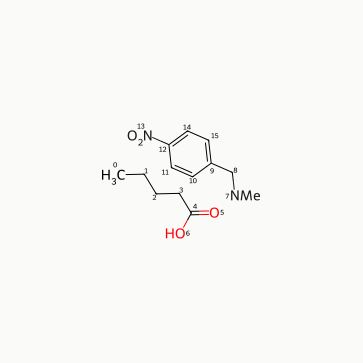 CCCCC(=O)O.CNCc1ccc([N+](=O)[O-])cc1